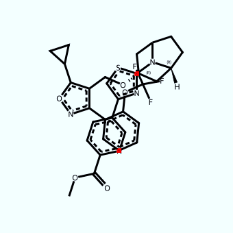 COC(=O)c1ccc(-c2csc(N3C4CC[C@@H]3C[C@H](OCc3c(-c5ccccc5OC(F)(F)F)noc3C3CC3)C4)n2)cn1